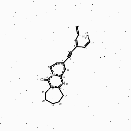 C=C/C=C(C#Cc1ccn2c(=O)c3c(nc2c1)CCCCC3)\C=C/N